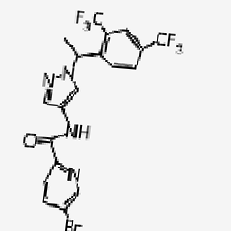 CC(c1ccc(C(F)(F)F)cc1C(F)(F)F)n1cc(NC(=O)c2ccc(Br)cn2)cn1